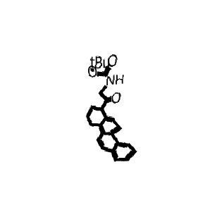 CC(C)(C)OC(=O)NCC(=O)C1CCCc2c1ccc1c2ccc2ccccc21